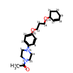 CC(=O)N1CCN(c2ccc(OCCCOC3C=CCCC3)cc2)CC1